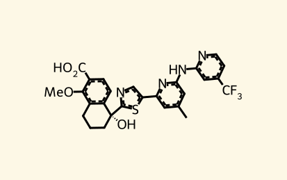 COc1c(C(=O)O)ccc2c1CCC[C@]2(O)c1ncc(-c2cc(C)cc(Nc3cc(C(F)(F)F)ccn3)n2)s1